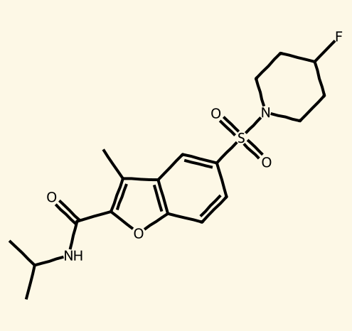 Cc1c(C(=O)NC(C)C)oc2ccc(S(=O)(=O)N3CCC(F)CC3)cc12